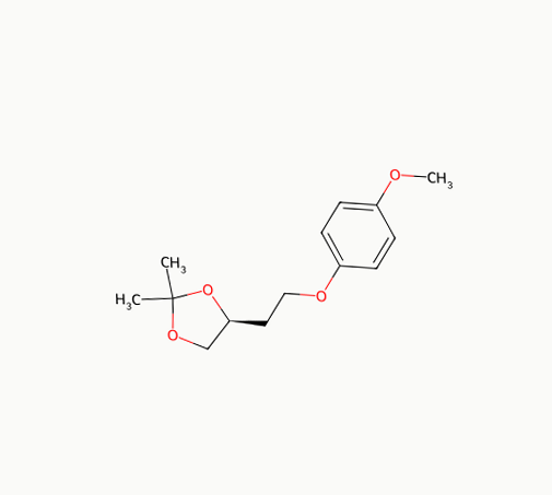 COc1ccc(OCC[C@H]2COC(C)(C)O2)cc1